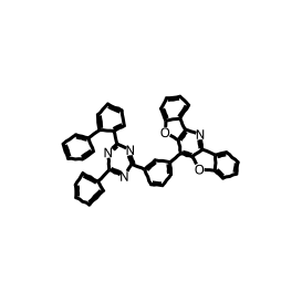 c1ccc(-c2nc(-c3cccc(-c4c5oc6ccccc6c5nc5c4oc4ccccc45)c3)nc(-c3ccccc3-c3ccccc3)n2)cc1